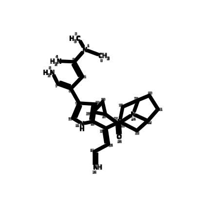 CN(C)/C(N)=C/C(=C\N)c1c[nH]c(/C(=C\C=N)N2CC3CCC(C2)N3C(=O)C2CC2)c1